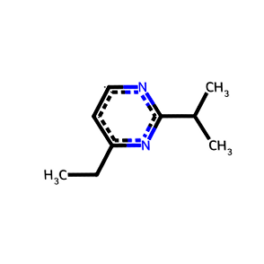 CCc1c[c]nc(C(C)C)n1